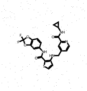 O=C(NC1CC1)c1cc(CNc2ccsc2C(=O)Nc2ccc3c(c2)OC(F)(F)O3)ccn1